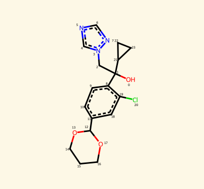 OC(Cn1cncn1)(c1ccc(C2OCCCO2)cc1Cl)C1CC1